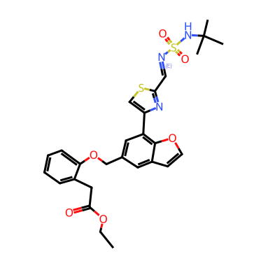 CCOC(=O)Cc1ccccc1OCc1cc(-c2csc(/C=N/S(=O)(=O)NC(C)(C)C)n2)c2occc2c1